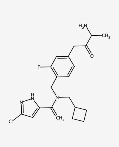 C=C(c1cc(Cl)n[nH]1)N(Cc1ccc(CC(=O)C(C)N)cc1F)CC1CCC1